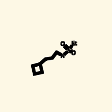 CCS(=O)(=O)[N]CCCC1CCC1